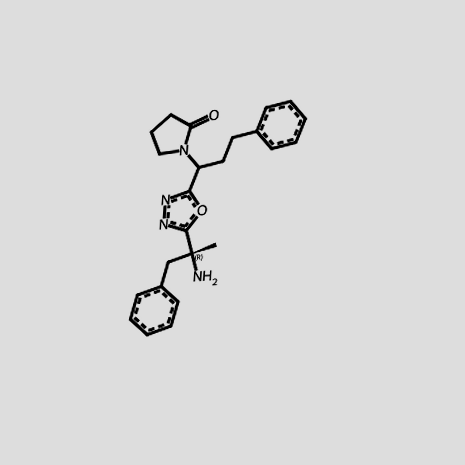 C[C@@](N)(Cc1ccccc1)c1nnc(C(CCc2ccccc2)N2CCCC2=O)o1